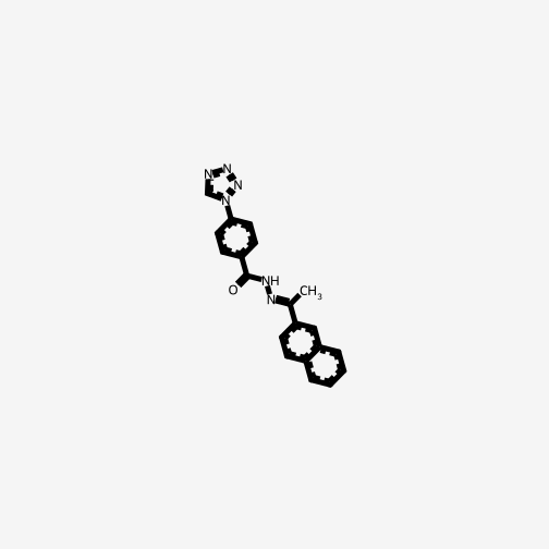 CC(=NNC(=O)c1ccc(-n2cnnn2)cc1)c1ccc2ccccc2c1